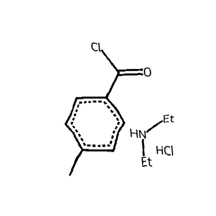 CCNCC.Cc1ccc(C(=O)Cl)cc1.Cl